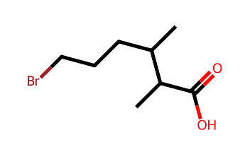 CC(CCCBr)C(C)C(=O)O